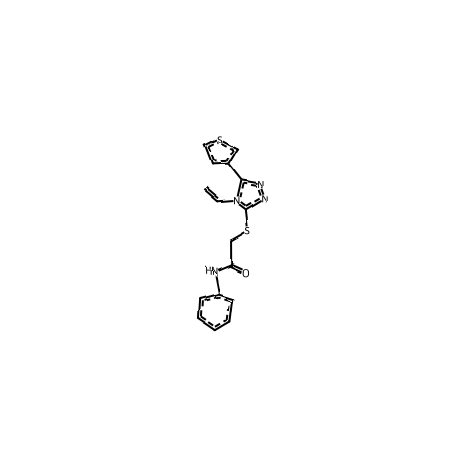 C=Cn1c(SCC(=O)Nc2ccccc2)nnc1-c1ccsc1